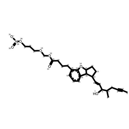 CC#CCC(C)C(O)/C=C/C1CCC2Oc3c(CCCC(=O)OCOCCCO[N+](=O)[O-])cccc3C12